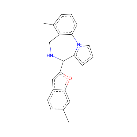 Cc1ccc2cc(C3NCc4c(C)cccc4-n4cccc43)oc2c1